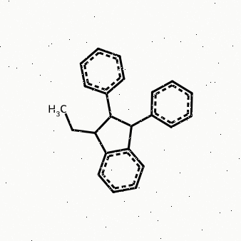 CCC1c2cc[c]cc2C(c2ccccc2)C1c1ccccc1